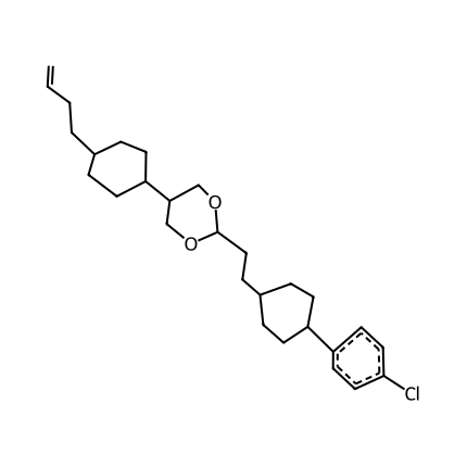 C=CCCC1CCC(C2COC(CCC3CCC(c4ccc(Cl)cc4)CC3)OC2)CC1